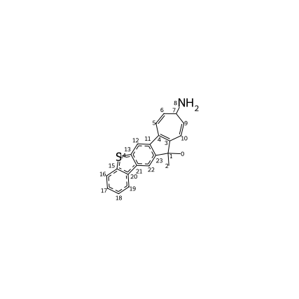 CC1(C)C2=C(C=CC(N)C=C2)c2cc3sc4ccccc4c3cc21